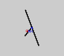 CCCCCCCCCCCCCCCCCCN(CCCCCCCCCCCCCCCCCC)CCCNC(=O)CCCCC